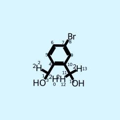 [2H]C([2H])(O)c1ccc(Br)cc1C([2H])([2H])O